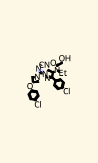 CCN(C(=O)CO)C1CN(/C(=N\C#N)N2CC(Oc3ccc(Cl)cc3)C2)N=C1c1ccc(Cl)cc1